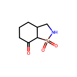 O=C1CCCC2CNS(=O)(=O)C12